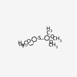 COc1cc(CSc2ccc3c(c2)C=CC(C)(C[18F])O3)cc(C)c1OC